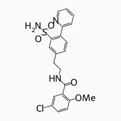 COc1ccc(Cl)cc1C(=O)NCCc1ccc(-c2ccccn2)c(S(N)(=O)=O)c1